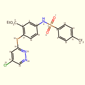 CCOC(=O)c1cc(NS(=O)(=O)c2ccc(C(F)(F)F)cc2)ccc1Sc1cc(Cl)cnn1